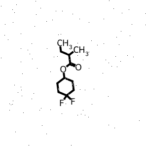 CCC(C)C(=O)OC1CCC(F)(F)CC1